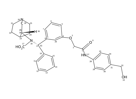 O=C(COc1cccc([C@H](c2ccccc2)N(C(=O)O)[C@H]2CN3CCC2CC3)c1)Nc1ccc(CO)cc1